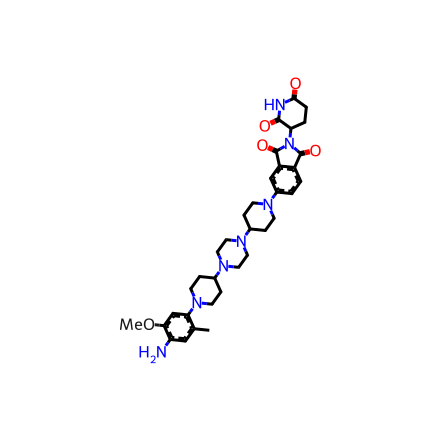 COc1cc(N2CCC(N3CCN(C4CCN(c5ccc6c(c5)C(=O)N(C5CCC(=O)NC5=O)C6=O)CC4)CC3)CC2)c(C)cc1N